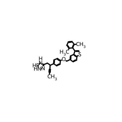 CC#CC(CC1=NNPN1)c1ccc(OCc2ccc3scc(-c4c(C)cccc4C)c3c2)cc1